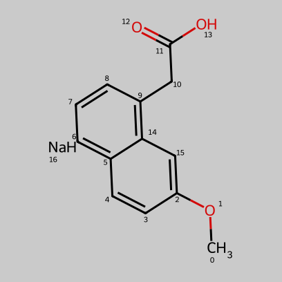 COc1ccc2cccc(CC(=O)O)c2c1.[NaH]